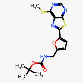 CSc1ncnc2sc(-c3ccc(CNC(=O)OC(C)(C)C)o3)nc12